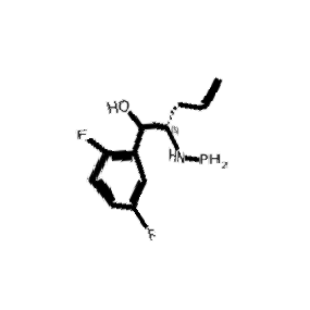 C=CC[C@H](NP)C(O)c1cc(F)ccc1F